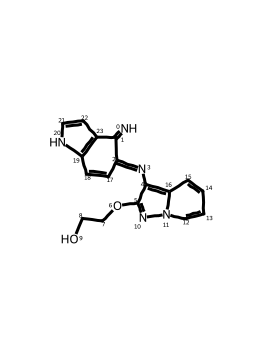 N=C1C(=Nc2c(OCCO)nn3ccccc23)C=Cc2[nH]ccc21